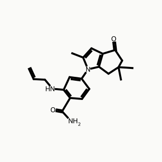 C=CCNc1cc(-n2c(C)cc3c2CC(C)(C)CC3=O)ccc1C(N)=O